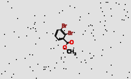 COC(=O)c1cccc(Br)c1Br